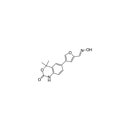 CC1(C)OC(=O)Nc2ccc(-c3coc(/C=N/O)c3)cc21